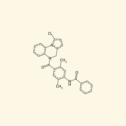 Cc1cc(C(=O)N2Cc3ccc(Cl)n3-c3ccccc32)c(C)cc1NC(=O)c1ccccc1